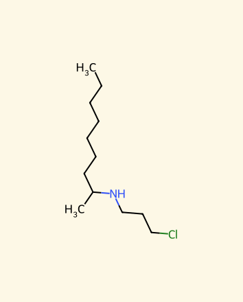 CCCCCCCC(C)NCCCCl